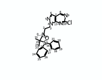 C[C@H](CCn1ncc2cnc(Cl)nc21)O[Si](c1ccccc1)(c1ccccc1)C(C)(C)C